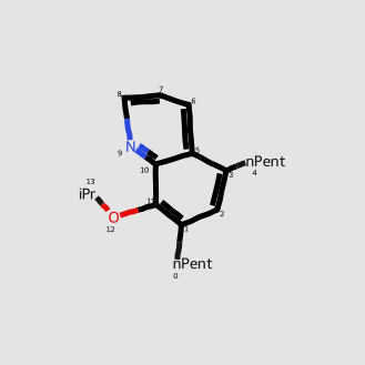 CCCCCc1cc(CCCCC)c2cccnc2c1OC(C)C